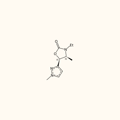 CCN1C(=O)O[C@H](c2ccn(C)n2)[C@@H]1C